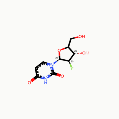 O=c1ccn([C@H]2OC(CO)[C@H](O)[C@H]2F)c(=O)[nH]1